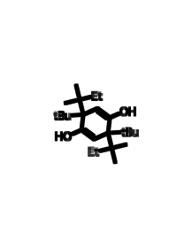 CCC(C)(C)C1(C(C)(C)C)C=C(O)C(C(C)(C)C)(C(C)(C)CC)C=C1O